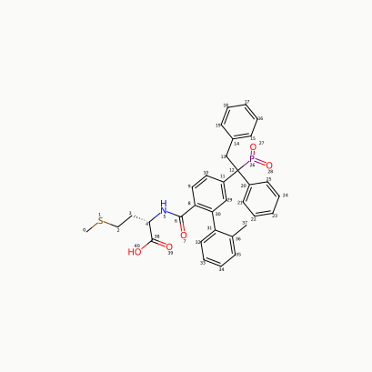 CSCC[C@H](NC(=O)c1ccc(C(Cc2ccccc2)(c2ccccc2)P(=O)=O)cc1-c1ccccc1C)C(=O)O